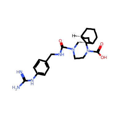 N=C(N)Nc1ccc(CNC(=O)N2CCN(C(=O)O)[C@]3(C2)C2CCC[C@H]3CCC2)cc1